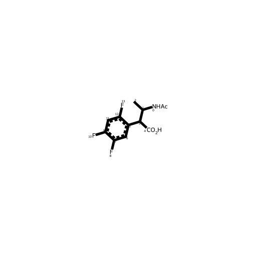 CC(=O)NC(C)C(C(=O)O)c1cc(F)c(F)cc1F